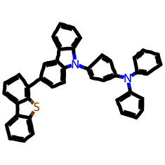 c1ccc(N(c2ccccc2)c2ccc(-n3c4ccccc4c4cc(-c5cccc6c5sc5ccccc56)ccc43)cc2)cc1